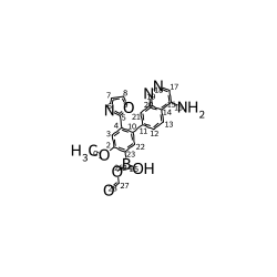 COc1cc(-c2ncco2)c(-c2ccc3c(N)cnnc3c2)cc1B(O)OC=O